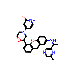 Cc1cncc(C(C)Nc2ccc3c(c2)Cc2cccc(C4CN(c5cc[nH]c(=O)c5)CCO4)c2O3)n1